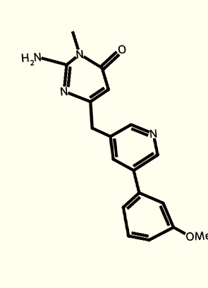 COc1cccc(-c2cncc(Cc3cc(=O)n(C)c(N)n3)c2)c1